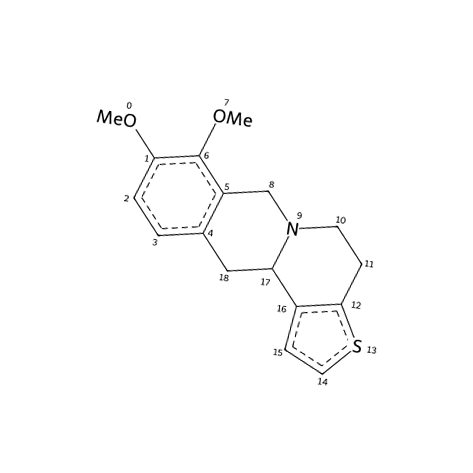 COc1ccc2c(c1OC)CN1CCc3sccc3C1C2